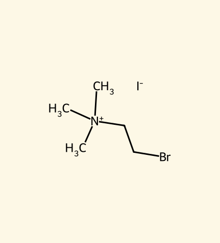 C[N+](C)(C)CCBr.[I-]